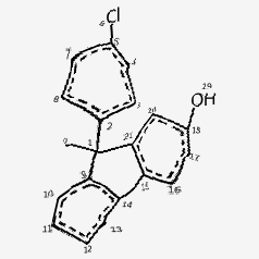 CC1(c2ccc(Cl)cc2)c2ccccc2-c2ccc(O)cc21